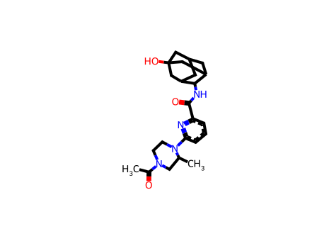 CC(=O)N1CCN(c2cccc(C(=O)NC3C4CC5CC3CC(O)(C5)C4)n2)C(C)C1